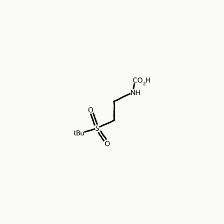 CC(C)(C)S(=O)(=O)CCNC(=O)O